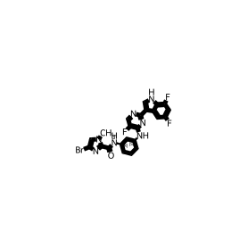 Cn1cc(Br)nc1C(=O)N[C@@H]1CCC[C@H](Nc2nc(-c3c[nH]c4c(F)cc(F)cc34)ncc2F)C1